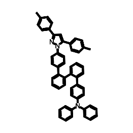 Cc1ccc(-c2cc(-c3ccc(C)cc3)n(-c3ccc(-c4ccccc4-c4ccccc4-c4ccc(N(c5ccccc5)c5ccccc5)cc4)cc3)n2)cc1